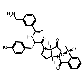 CS(=O)(=O)c1ccccc1C(=O)N1CC(=O)[C@@H]2[C@H]1CCN2C(=O)[C@H](Cc1ccc(O)cc1)NC(=O)c1cccc(CN)c1